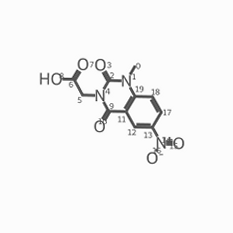 Cn1c(=O)n(CC(=O)O)c(=O)c2cc([N+](=O)[O-])ccc21